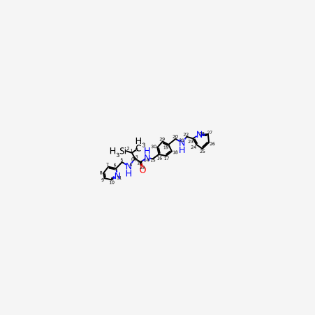 CC([SiH3])[C@H](NCc1ccccn1)C(=O)NCc1ccc(CNCc2ccccn2)cc1